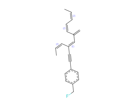 C=C(/C=C\C=C/C)/C=C(C#Cc1ccc(CF)cc1)\C=C/C